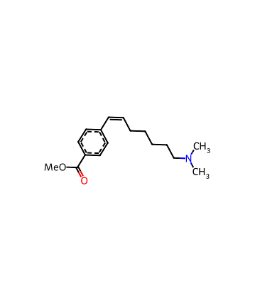 COC(=O)c1ccc(/C=C\CCCCCN(C)C)cc1